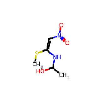 CSC(=C[N+](=O)[O-])NC(C)O